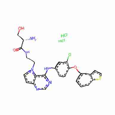 Cl.Cl.N[C@@H](CO)C(=O)NCCn1ccc2ncnc(Nc3ccc(Oc4cccc5sccc45)c(Cl)c3)c21